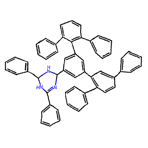 c1ccc(C2=NC(c3cc(-c4cc(-c5ccccc5)ccc4-c4ccccc4)cc(-c4c(-c5ccccc5)cccc4-c4ccccc4)c3)NC(c3ccccc3)N2)cc1